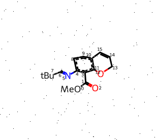 COC(=O)c1c(N=CC(C)(C)C)ccc2c1OCC=C2